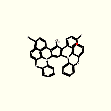 Fc1ccc(-c2c(N3c4ccccc4Sc4ccccc43)cc(N3c4ccccc4Sc4ccccc43)c(-c3ccc(F)cc3)c2C(F)(F)F)cc1